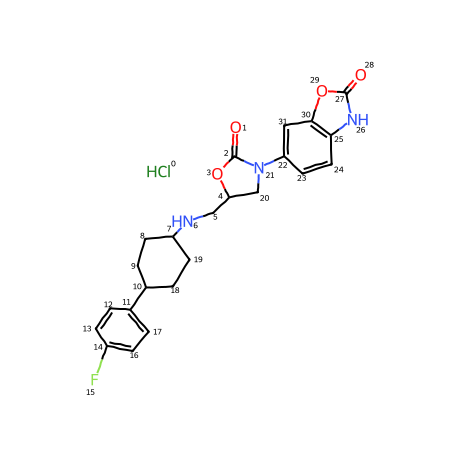 Cl.O=C1OC(CNC2CCC(c3ccc(F)cc3)CC2)CN1c1ccc2[nH]c(=O)oc2c1